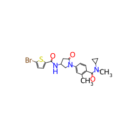 Cc1cc(N2CC(NC(=O)c3ccc(Br)s3)CC2=O)ccc1C(=O)N(C)C1CC1